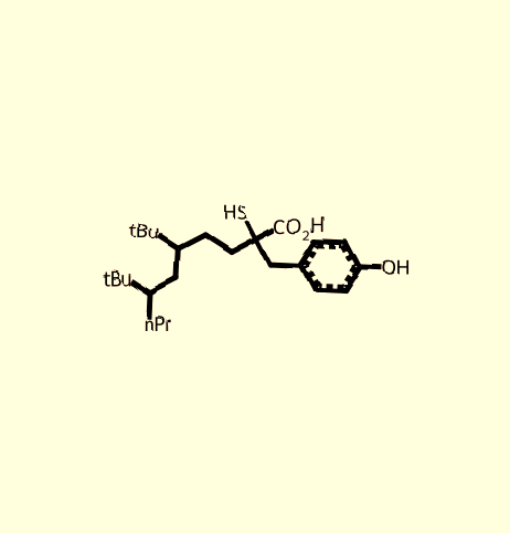 CCCC(CC(CCC(S)(Cc1ccc(O)cc1)C(=O)O)C(C)(C)C)C(C)(C)C